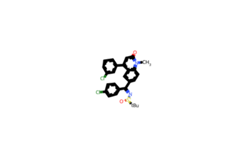 Cn1c(=O)cc(-c2cccc(Cl)c2)c2cc(C(=N[S+]([O-])C(C)(C)C)c3ccc(Cl)cc3)ccc21